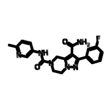 Cc1ccc(NC(=O)N2CCn3nc(-c4cccc(F)c4)c(C(N)=O)c3C2)cn1